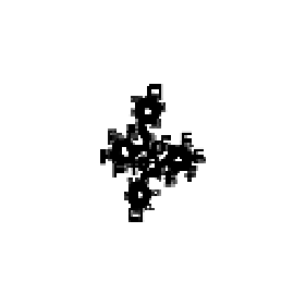 O=S(=O)(C(C=Cc1ccc(Cl)cc1)c1c(F)c(F)c(F)c(F)c1F)C(C=Cc1ccc(Cl)cc1)c1c(F)c(F)c(F)c(F)c1F